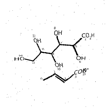 CC=CC(=O)[O-].O=C(O)C(O)C(O)C(O)C(O)CO.[K+]